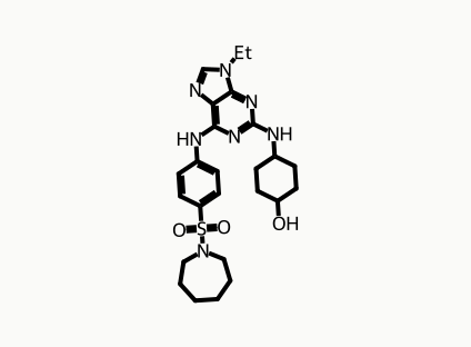 CCn1cnc2c(Nc3ccc(S(=O)(=O)N4CCCCCC4)cc3)nc(NC3CCC(O)CC3)nc21